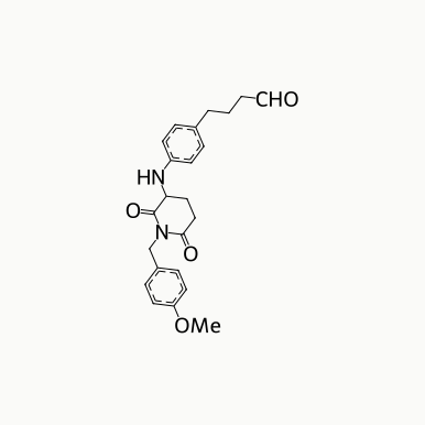 COc1ccc(CN2C(=O)CCC(Nc3ccc(CCCC=O)cc3)C2=O)cc1